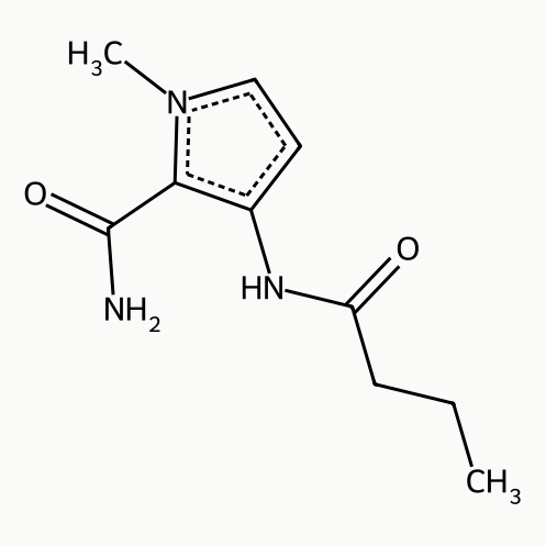 CCCC(=O)Nc1ccn(C)c1C(N)=O